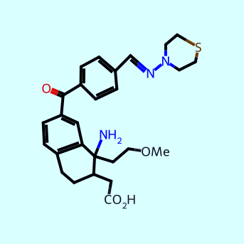 COCCC1(N)c2cc(C(=O)c3ccc(C=NN4CCSCC4)cc3)ccc2CCC1CC(=O)O